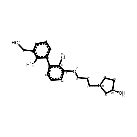 Cc1c(CO)cccc1-c1cccc(OCCCN2CC[C@@H](O)C2)c1Cl